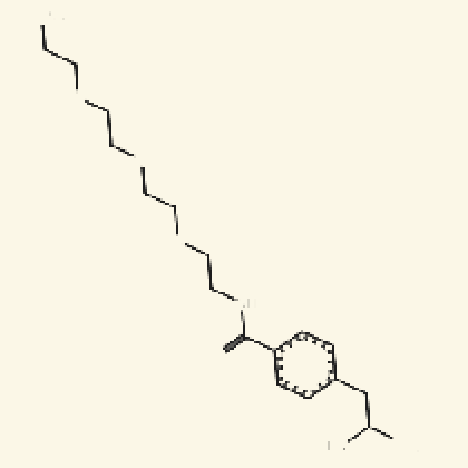 COCCOCCOCCOCCNC(=O)c1ccc(CC(N)C(=O)O)cc1